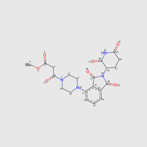 CC(C)(C)OC(=O)CC(=O)N1CCN(c2cccc3c2C(=O)N(C2CCC(=O)NC2=O)C3=O)CC1